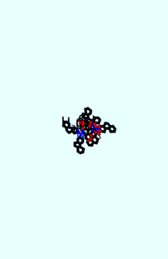 CC(C)(C)C1(C2(C(C)(C)C)c3ccc4ccccc4c3-c3c2cc(N(c2ccc4c(ccc5ccccc54)c2)c2ccc4c(ccc5ccccc54)c2)c2ccccc32)c2ccc3ccccc3c2-c2c1cc(N(c1ccc3c(ccc4ccccc43)c1)c1ccc3c(ccc4ccccc43)c1)c1ccccc21